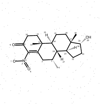 C[C@@H]1CC2=C([N+](=O)[O-])C(=O)CC[C@]2(C)[C@H]2CC[C@]3(C)[C@H](O)CC[C@H]3[C@H]12